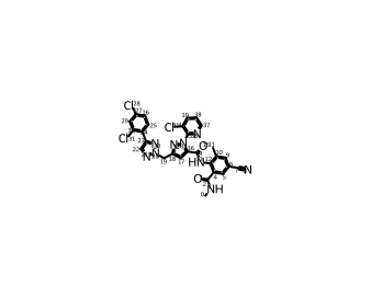 CNC(=O)c1cc(C#N)cc(C)c1NC(=O)c1cc(Cn2ncc(-c3ccc(Cl)cc3Cl)n2)nn1-c1ncccc1Cl